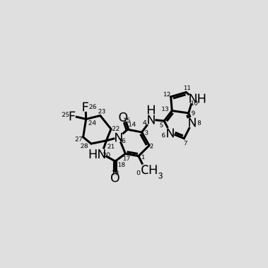 Cc1cc(Nc2ncnc3[nH]ccc23)c(=O)n2c1C(=O)NC21CCC(F)(F)CC1